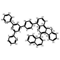 c1ccc(-c2cc(-c3ccc(-c4cccc5c4nc(-c4cccc6ccccc46)c4c6ccccc6oc54)cc3)cc(-c3ccccn3)n2)nc1